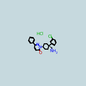 Cl.NC[C@]1(c2cccc(Cl)c2)CC[C@H](n2nc(-c3ccccc3)ccc2=O)CC1